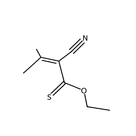 CCOC(=S)C(C#N)=C(C)C